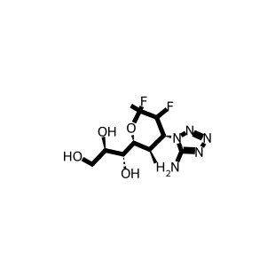 C[C@H]1[C@H]([C@H](O)[C@H](O)CO)OC(C)(F)C(F)[C@@H]1n1nnnc1N